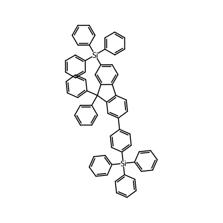 c1ccc(C2(c3ccccc3)c3cc(-c4ccc([Si](c5ccccc5)(c5ccccc5)c5ccccc5)cc4)ccc3-c3ccc([Si](c4ccccc4)(c4ccccc4)c4ccccc4)cc32)cc1